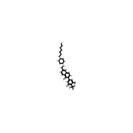 CCCCCCC[C@H]1CC[C@H](CCc2ccc3c(F)c(-c4cc(F)c(C(F)(F)F)c(F)c4)ccc3c2)CC1